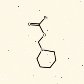 CCC(=O)OCN1CCCCC1